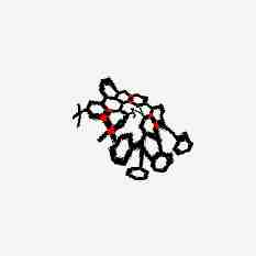 CC(C)(C)c1cc(-c2cccc3cccc(-c4ccccc4N(c4ccc5c(c4)C(c4ccccc4)(c4ccccc4)c4ccccc4-5)c4ccccc4-c4ccc(-c5ccccc5)cc4)c23)cc(C(C)(C)C)c1